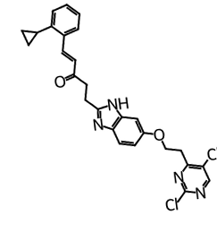 O=C(/C=C/c1ccccc1C1CC1)CCc1nc2ccc(OCCc3nc(Cl)ncc3Cl)cc2[nH]1